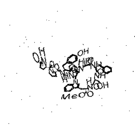 COC(=O)[C@@H]1Cc2cn(c3ccccc23)[C@@H](NC(=O)[C@H](Cc2ccc(O)cc2)NC(=O)[C@@H]2CCCN2C(=O)[C@@H]2CCC(=O)N2)C(=O)N[C@@H](C(C)C)C(=O)N[C@@H](Cc2ccccc2)C(=O)N[C@@H](CO)C(=O)N1